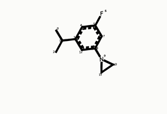 CC(C)c1cc(F)cc(N2CC2)c1